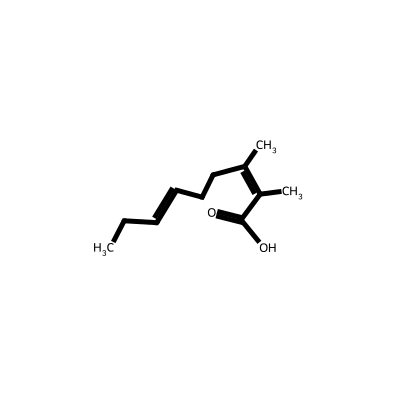 CCC=CCCC(C)=C(C)C(=O)O